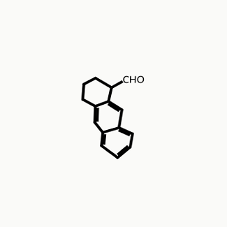 O=CC1CCCc2cc3ccccc3cc21